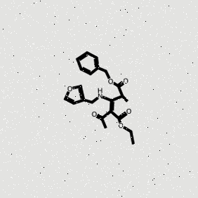 CCOC(=O)C(C(C)=O)=C(NCc1ccoc1)C(C)C(=O)OCc1ccccc1